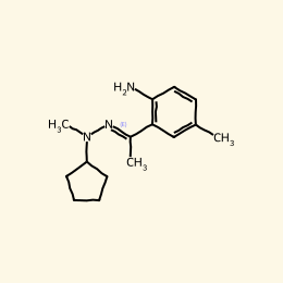 C/C(=N\N(C)C1CCCC1)c1cc(C)ccc1N